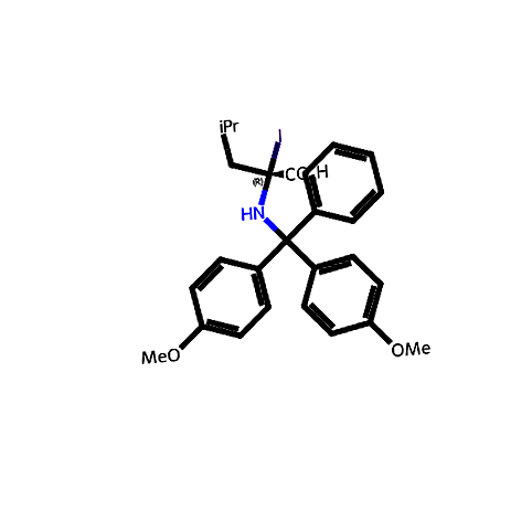 COc1ccc(C(N[C@@](I)(CC(C)C)C(=O)O)(c2ccccc2)c2ccc(OC)cc2)cc1